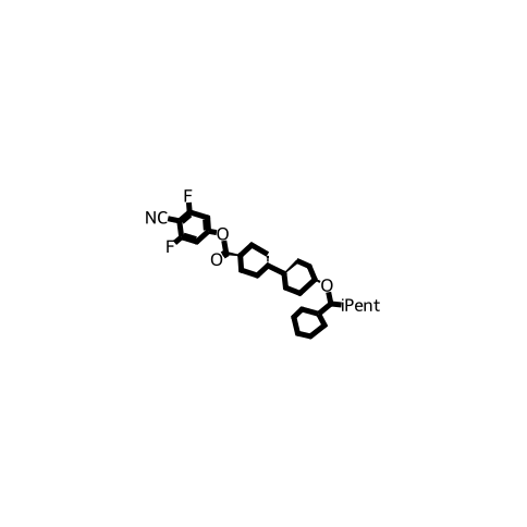 CCCC(C)C(O[C@H]1CC[C@H]([C@H]2CC[C@H](C(=O)Oc3cc(F)c(C#N)c(F)c3)CC2)CC1)C1CCCCC1